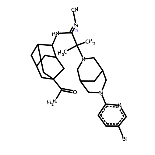 CC(C)(/C(=N/C#N)NC1C2CC3CC1CC(C(N)=O)(C3)C2)N1CC2CC(CN(c3ccc(Br)cn3)C2)C1